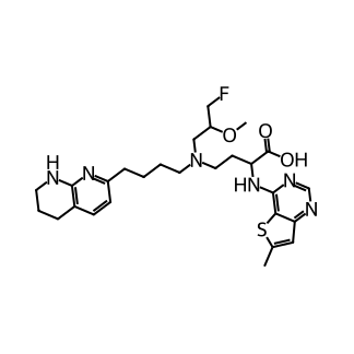 COC(CF)CN(CCCCc1ccc2c(n1)NCCC2)CCC(Nc1ncnc2cc(C)sc12)C(=O)O